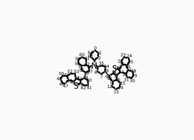 c1ccc(N(c2ccc(-c3cc4ccccc4c4c3sc3c5ccccc5c5ccccc5c34)cc2)c2cc(-c3cccc4sc5c6ccccc6ccc5c34)cc3ccccc23)cc1